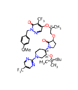 COc1ccc(Cn2ncc(O[C@@H](C)COC3CCN([C@@H]4CCN(c5ncc(C(F)(F)F)cn5)C[C@H]4O[Si](C)(C)C(C)(C)C)C3=O)c(C(F)(F)F)c2=O)cc1